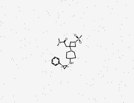 CN(C)C(=O)CC1(N2CCC(N[C@@H]3C[C@H]3c3ccccc3)CC2)CN(S(C)(=O)=O)C1